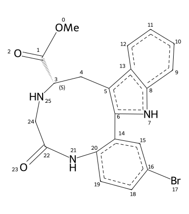 COC(=O)[C@@H]1Cc2c([nH]c3ccccc23)-c2cc(Br)ccc2NC(=O)CN1